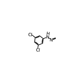 C=NNc1cc(Cl)cc(Cl)c1